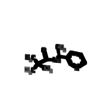 C[C@H](NC(=O)C(C)(C)C)c1cccnc1